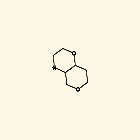 C1COC2CCOCC2[N]1